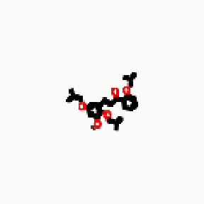 COc1cc(OCC(C)C)cc(C=CC(=O)c2ccccc2OCC(C)C)c1OCC(C)C